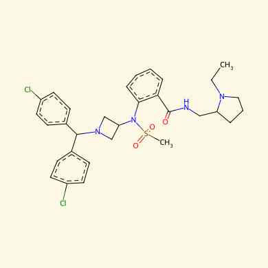 CCN1CCCC1CNC(=O)c1ccccc1N(C1CN(C(c2ccc(Cl)cc2)c2ccc(Cl)cc2)C1)S(C)(=O)=O